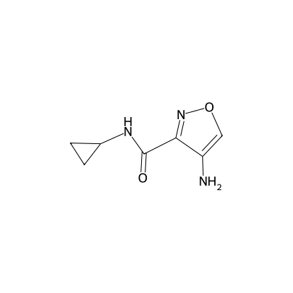 Nc1conc1C(=O)NC1CC1